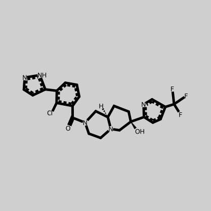 O=C(c1cccc(-c2ccn[nH]2)c1Cl)N1CCN2C[C@@](O)(c3ccc(C(F)(F)F)cn3)CC[C@@H]2C1